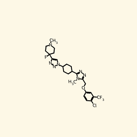 CN1CCC(F)(c2cn(C3CCC(c4nnc(COc5ccc(Cl)c(C(F)(F)F)c5)n4C)CC3)nn2)CC1